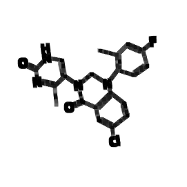 Cc1cc(F)ccc1N1CN(c2c[nH]c(=O)nc2C)C(=O)c2cc(Cl)ccc21